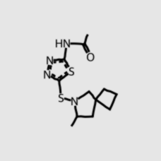 CC(=O)Nc1nnc(SN2CC3(CCC3)CC2C)s1